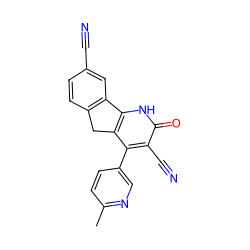 Cc1ccc(-c2c3c([nH]c(=O)c2C#N)-c2cc(C#N)ccc2C3)cn1